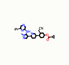 CC(C)c1cncc(Nc2c(-c3ccc(-c4ccc(OC(=O)C5CC5)cc4CC#N)cn3)cnn2C)n1